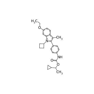 CCOc1ccc2c(C)c(-c3ccc(NC(=O)OC(C)C4CC4)cc3)n(C3CCC3)c2c1